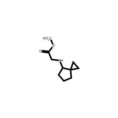 O=C(O)OC(=O)CNC1CCCC12CC2